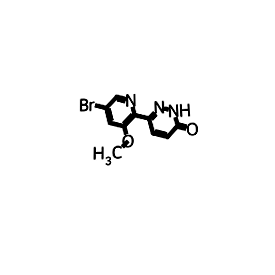 COc1cc(Br)cnc1-c1ccc(=O)[nH]n1